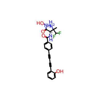 CC(N)(C(F)F)[C@H](NC(=O)c1ccc(C#CC#Cc2ccccc2O)cc1)C(=O)NO